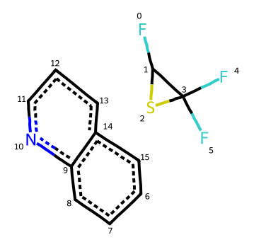 FC1SC1(F)F.c1ccc2ncccc2c1